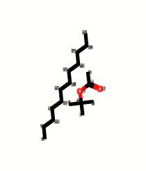 CC(=O)OC(C)(C)C.CCCCCCCCCCCC